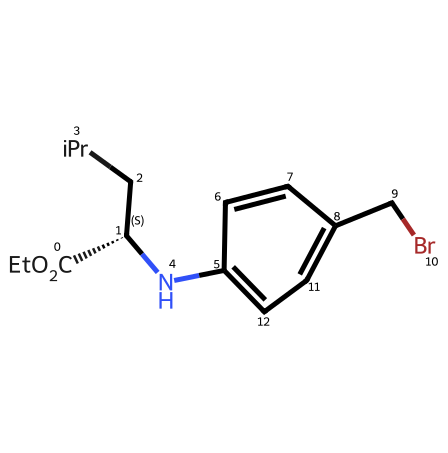 CCOC(=O)[C@H](CC(C)C)Nc1ccc(CBr)cc1